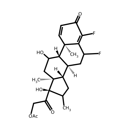 CC(=O)OCC(=O)[C@@]1(O)C(C)C[C@H]2[C@@H]3CC(F)C4=C(F)C(=O)C=C[C@]4(C)[C@H]3C(O)C[C@@]21C